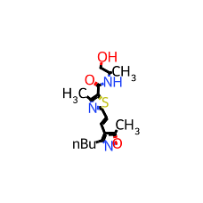 CCCCc1noc(C)c1/C=C/c1nc(C)c(C(=O)NC(C)CO)s1